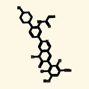 C=CC(=O)Nc1cc(-c2cc3c(cn2)cc(-c2c(Cl)c(OC)cc(OC)c2Cl)c(=O)n3CC)ccc1N1CCN(CC)CC1